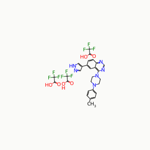 Cc1ccc(N2CCN(c3ncnc4ccc(-c5cn[nH]c5)cc34)CC2)cc1.O=C(O)C(F)(F)F.O=C(O)C(F)(F)F.O=C(O)C(F)(F)F